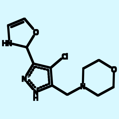 Clc1c(C2NC=CO2)n[nH]c1CN1CCOCC1